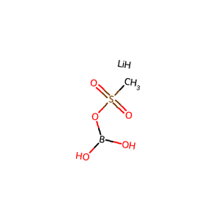 CS(=O)(=O)OB(O)O.[LiH]